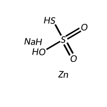 O=S(=O)(O)S.[NaH].[Zn]